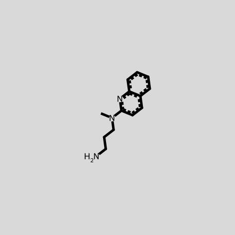 CN(CCCN)c1ccc2ccccc2n1